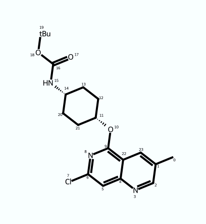 Cc1cnc2cc(Cl)nc(O[C@H]3CC[C@@H](NC(=O)OC(C)(C)C)CC3)c2c1